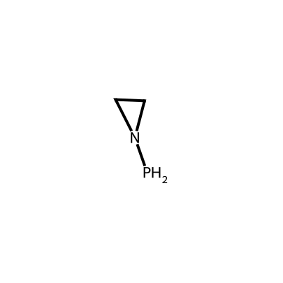 PN1CC1